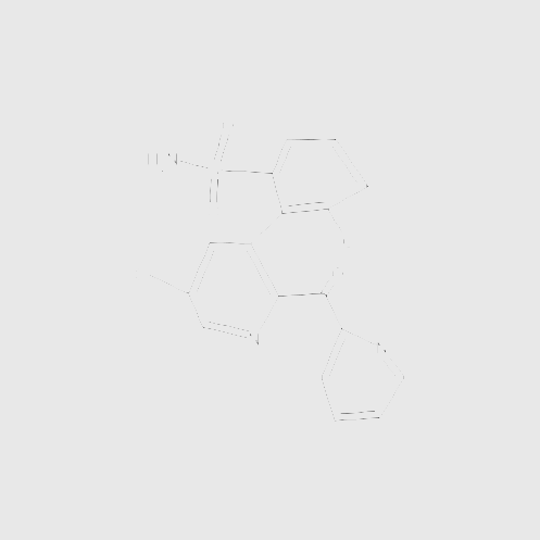 NS(=O)(=O)c1cccc(C(F)(F)F)c1-c1cc(Cl)cnc1C(=O)c1ccccn1